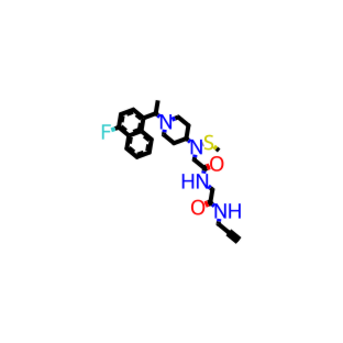 C#CCNC(=O)CNC(=O)CN(SC)C1CCN(C(C)c2ccc(F)c3ccccc23)CC1